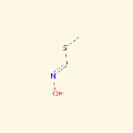 [CH2]S/C=N/O